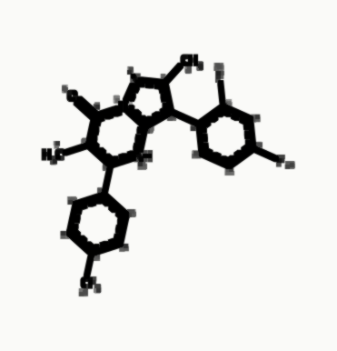 Cc1nn2c(=O)c(C)c(-c3ccc(C(F)(F)F)cc3)[nH]c2c1-c1ccc(F)cc1F